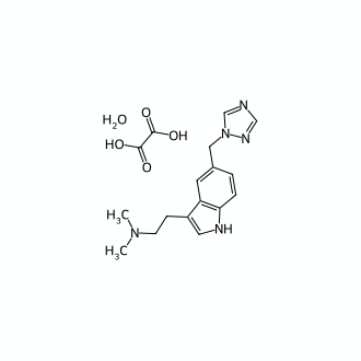 CN(C)CCc1c[nH]c2ccc(Cn3cncn3)cc12.O.O=C(O)C(=O)O